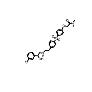 CNC(=O)COc1ccc(S(=O)(=O)c2ccc(CCNCC(O)c3cccc(Cl)c3)cc2)cc1